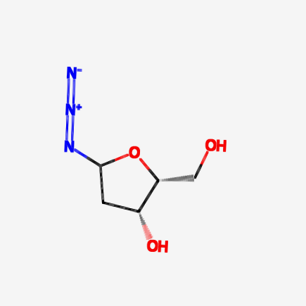 [N-]=[N+]=NC1C[C@@H](O)[C@@H](CO)O1